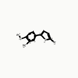 CC(C)Oc1ccc(C2CC=C(Br)S2)cc1C#N